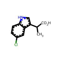 CC(C(=O)O)c1c[nH]c2ccc(Cl)cc12